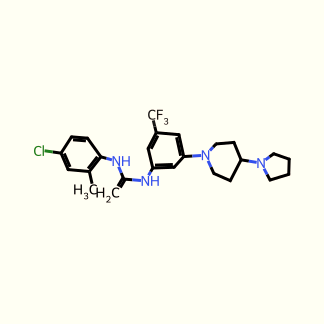 C=C(Nc1cc(N2CCC(N3CCCC3)CC2)cc(C(F)(F)F)c1)Nc1ccc(Cl)cc1C